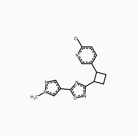 Cn1cc(-c2nc(C3CCC3c3ccc(Cl)nc3)no2)cn1